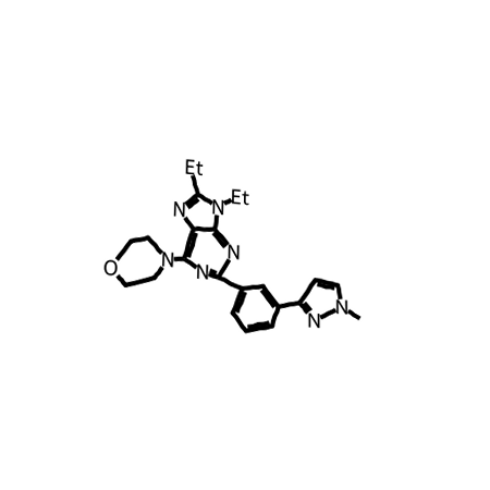 CCc1nc2c(N3CCOCC3)nc(-c3cccc(-c4ccn(C)n4)c3)nc2n1CC